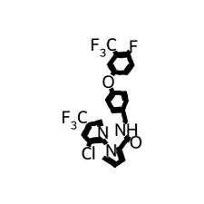 O=C(NCc1ccc(Oc2ccc(F)c(C(F)(F)F)c2)cc1)c1cccn1-c1ncc(C(F)(F)F)cc1Cl